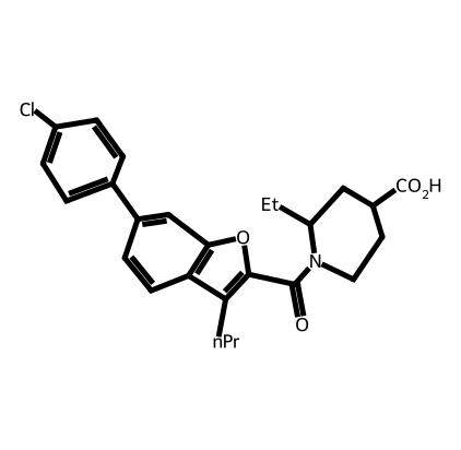 CCCc1c(C(=O)N2CCC(C(=O)O)CC2CC)oc2cc(-c3ccc(Cl)cc3)ccc12